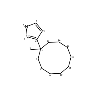 CC1(C2=N[N]C=C2)CCCCCCCCC1